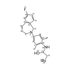 Cc1cc(N2CCSc3cc(F)ccc3C2)cc(C)c1NC(O)CC(C)(C)C